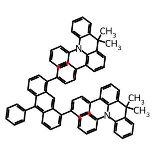 CC1(C)c2ccccc2N(c2ccccc2)c2c(-c3ccc(-c4cccc5c(-c6ccccc6)c6cccc(-c7ccc(-c8cccc9c8N(c8ccccc8)c8ccccc8C9(C)C)cc7)c6cc45)cc3)cccc21